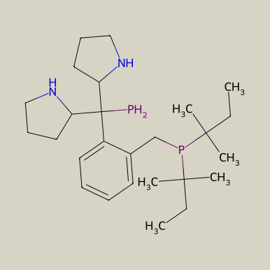 CCC(C)(C)P(Cc1ccccc1C(P)(C1CCCN1)C1CCCN1)C(C)(C)CC